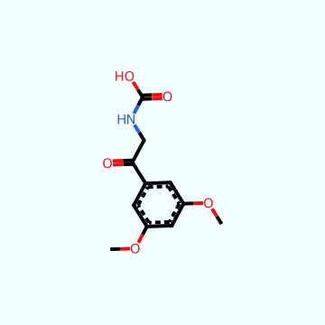 COc1cc(OC)cc(C(=O)CNC(=O)O)c1